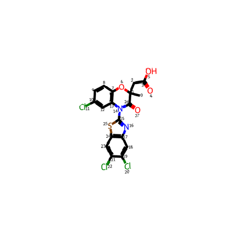 CC1(CC(=O)O)Oc2ccc(Cl)cc2N(c2nc3cc(Cl)c(Cl)cc3s2)C1=O